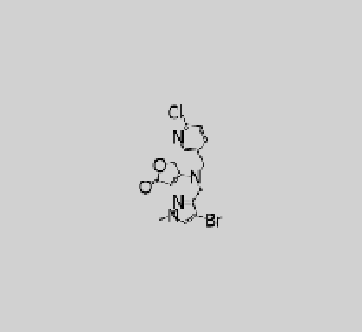 Cn1cc(Br)c(CN(Cc2ccc(Cl)nc2)C2=CC(=O)OC2)n1